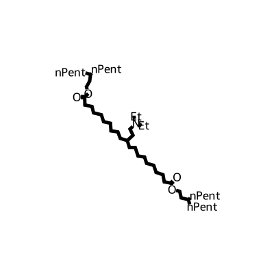 CCCCCC(CCCCC)CCOC(=O)CCCCCCCCCC(CCCCCCCCCC(=O)OCCC(CCCCC)CCCCC)CCN(CC)CC